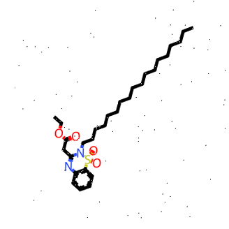 CCCCCCCCCCCCCCCCCCN1C(CC(=O)OCC)=Nc2ccccc2S1(=O)=O